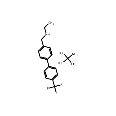 CC(C)(C)N.CCNCc1ccc(-c2ccc(C(F)(F)F)cc2)cc1